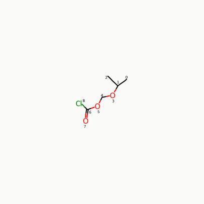 CC(C)OCOC(=O)Cl